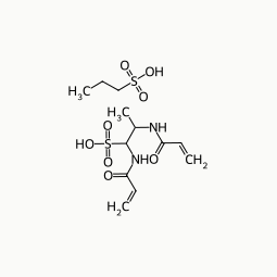 C=CC(=O)NC(C)C(NC(=O)C=C)S(=O)(=O)O.CCCS(=O)(=O)O